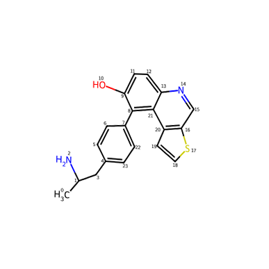 CC(N)Cc1ccc(-c2c(O)ccc3ncc4sccc4c23)cc1